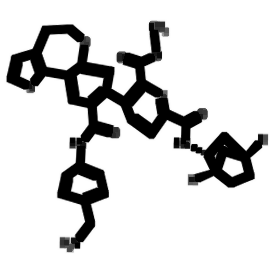 COC(=O)c1nc(C(=O)N[C@@H]2C[C@@H]3CC[C@H]2C3)ccc1-c1cc2c(cc1C(=O)Nc1ccc(CN)cc1)-c1sccc1CCO2